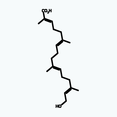 CC(=CCO)CCC=C(C)CCC=C(C)CCC=C(C)C(=O)O